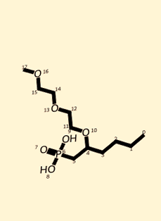 CCCCC(CP(=O)(O)O)OCCOCCOC